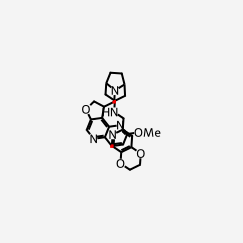 COc1ccc2ncc3c(c2n1)C(CN1C2CCC1CC(NCc1cc4c(cn1)OCCO4)C2)CO3